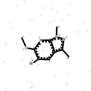 COc1nc2c(cc1Br)c(C)nn2C